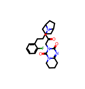 O=C(CN1C2CCC1CC(CCc1ccccc1F)C2)Cn1c(=O)nc2n(c1=O)CCCC2